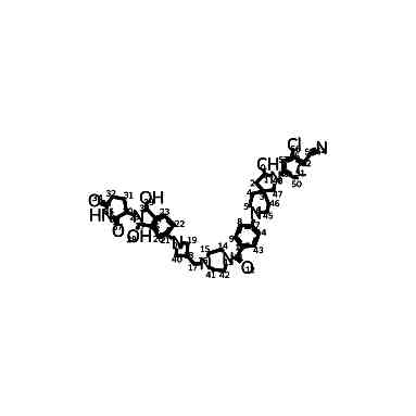 CC1CC2(CCN(c3ccc(C(=O)N4CCN(CC5CN(c6ccc7c(c6)C(O)N(C6CCC(=O)NC6=O)C7O)C5)CC4)cc3)CC2)CN1c1ccc(C#N)c(Cl)c1